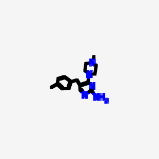 Cc1ccc(Cc2cnc(N)nc2N2CCN(C)CC2)cc1